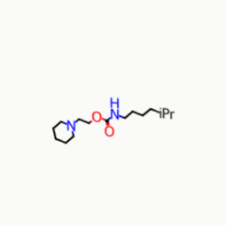 CC(C)CCCCNC(=O)OCCN1CCCCC1